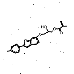 C=C(C)C(=O)OCC(O)CSc1ccc2cc(-c3ccc(C)cc3)oc2c1